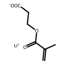 C=C(C)C(=O)OCCC(=O)[O-].[Li+]